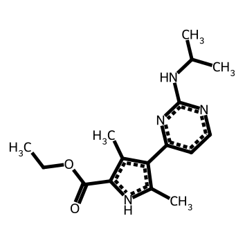 CCOC(=O)c1[nH]c(C)c(-c2ccnc(NC(C)C)n2)c1C